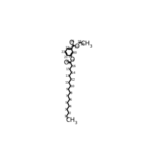 CCCCCCCCCCCCCCCCCC(=O)Oc1cccc(C(=O)OCC)c1